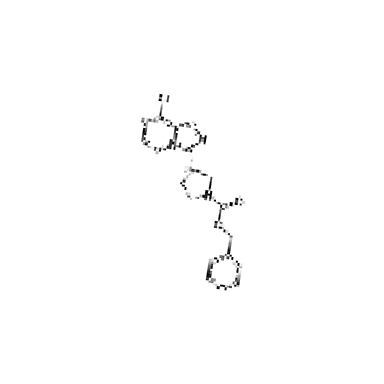 O=C(OCc1ccccc1)N1CC[C@H](c2ncc3c(Cl)nccn23)C1